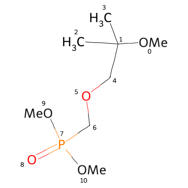 COC(C)(C)COCP(=O)(OC)OC